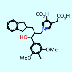 COc1cc([C@@H](O)[C@@H](CC2Cc3ccccc3C2)Cn2cc(CC(=O)O)c(C(=O)O)c2)cc(OC)c1C